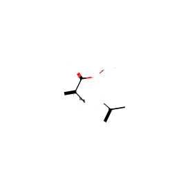 C=C(C)C(=O)OCC.C=C(C)C(=O)OCCCCCCCC